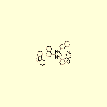 c1ccc2cc(-c3nc(-c4ccc(-c5cccc6oc7ccccc7c56)c5ccccc45)nc(-c4cccc5oc6ccncc6c45)n3)ccc2c1